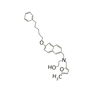 Cc1ccc(CN(CCO)Cc2ccc3cc(OCCCCCc4ccccc4)ccc3c2)o1